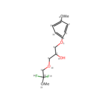 COc1ccc(OCC(O)COCC(F)(F)OC)cc1